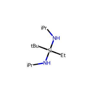 CC[Si](NC(C)C)(NC(C)C)C(C)(C)C